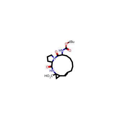 CC(C)(C)OC(=O)NC1CCCCC/C=C/C2CC2(C(=O)O)NC(=O)C2CCCN2C1=O